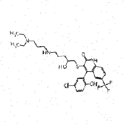 CCN(CC)CCCNCCCC(O)CSc1c(-c2cc(Cl)ccc2O)c2cc(C(F)(F)F)ccc2[nH]c1=O